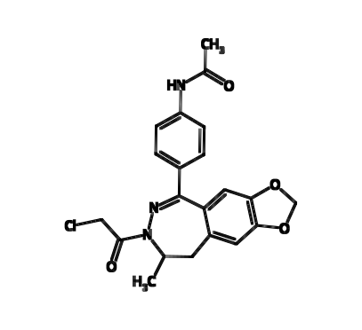 CC(=O)Nc1ccc(C2=NN(C(=O)CCl)C(C)Cc3cc4c(cc32)OCO4)cc1